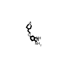 CN1CCC(CCOc2ccc3c(N)n[nH]c3c2)CC1